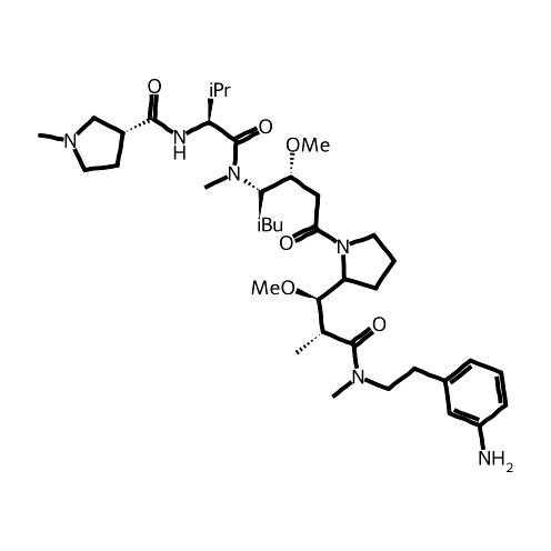 CC[C@H](C)[C@@H]([C@@H](CC(=O)N1CCCC1[C@H](OC)[C@@H](C)C(=O)N(C)CCc1cccc(N)c1)OC)N(C)C(=O)[C@@H](NC(=O)[C@@H]1CCN(C)C1)C(C)C